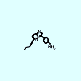 CCCC#Cc1ccc2ncc(-c3ccc(CN)cc3)n2n1